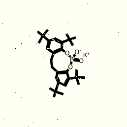 CC(C)(C)c1cc2c(c(C(C)(C)C)c1)OP(=O)([O-])Oc1c(cc(C(C)(C)C)cc1C(C)(C)C)CC2.[K+]